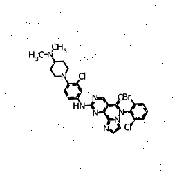 CN(C)C1CCN(c2ccc(Nc3ncc4c(=O)n(-c5c(Cl)cccc5Br)n5ccnc5c4n3)cc2Cl)CC1